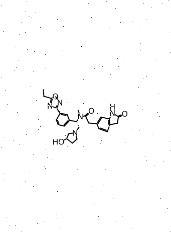 CCc1nc(-c2cccc([C@@H](CN3CCC(O)C3)N(C)C(=O)Cc3ccc4c(c3)NC(=O)C4)c2)no1